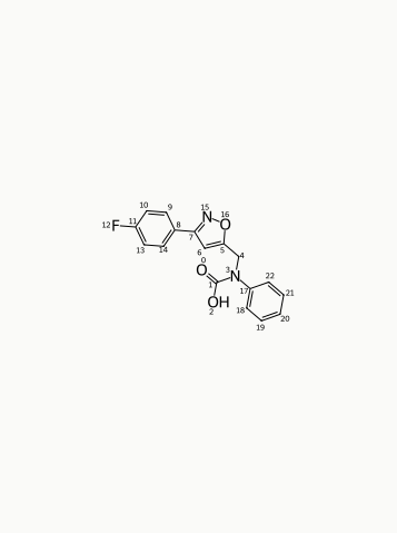 O=C(O)N(Cc1cc(-c2ccc(F)cc2)no1)c1ccccc1